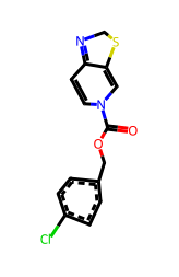 O=C(OCc1ccc(Cl)cc1)N1C=CC2=NCSC2=C1